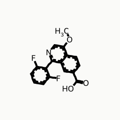 COc1cnc(-c2c(F)cccc2F)c2cc(C(=O)O)ccc12